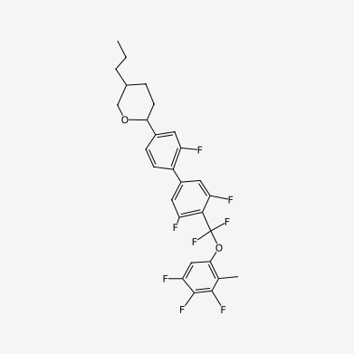 CCCC1CCC(c2ccc(-c3cc(F)c(C(F)(F)Oc4cc(F)c(F)c(F)c4C)c(F)c3)c(F)c2)OC1